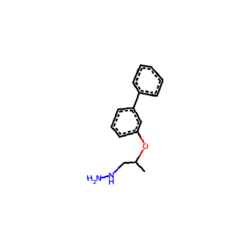 CC(CNN)Oc1cccc(-c2ccccc2)c1